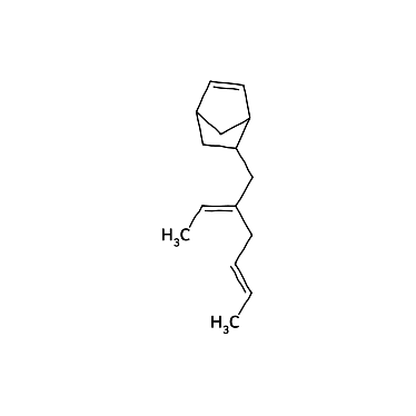 CC=CCC(=CC)CC1CC2C=CC1C2